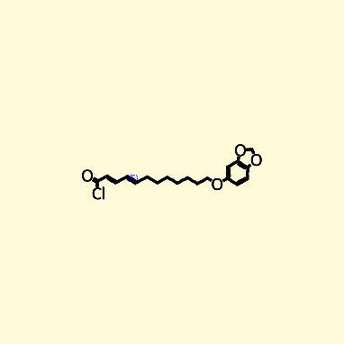 O=C(Cl)C=C/C=C/CCCCCCCOc1ccc2c(c1)OCO2